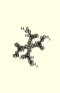 C=CC(=O)OCCNC(=O)OC(COc1ccc(C(=C(c2ccc(OCC(CSc3ccccc3)OC(=O)NCCOC(=O)C=C)cc2)c2ccc(OCC(CSc3ccccc3)OC(=O)NCCOC(=O)C=C)cc2)c2ccc(OCC(CSc3ccccc3)OC(=O)NCCOC(=O)C=C)cc2)cc1)CSc1ccccc1